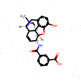 CN1CC[C@]23c4c5ccc(O)c4O[C@H]2[C@H](NC(=O)c2cccc(C(=O)O)c2)C=CC3[C@H]1C5